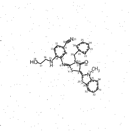 CN1C(=C2SC(=Nc3cc(C#N)ccc3NCCO)N(Cc3ccccc3)C2=O)Sc2ccccc21